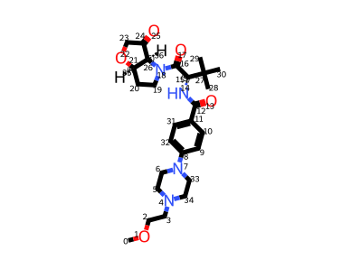 COCCN1CCN(c2ccc(C(=O)N[C@H](C(=O)N3CC[C@H]4OCC(=O)[C@H]43)C(C)(C)C)cc2)CC1